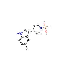 Cc1ccc2[nH]cc(C3CCN(S(C)(=O)=O)CC3)c2c1